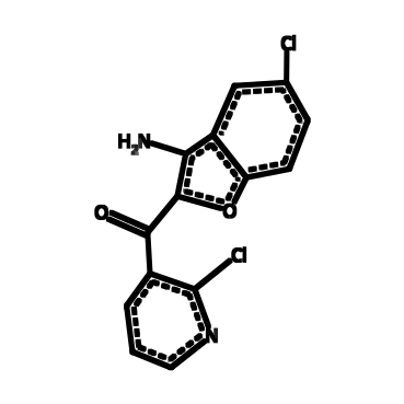 Nc1c(C(=O)c2cccnc2Cl)oc2ccc(Cl)cc12